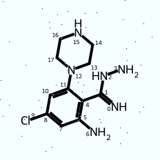 N=C(NN)c1c(N)cc(Cl)cc1N1CCNCC1